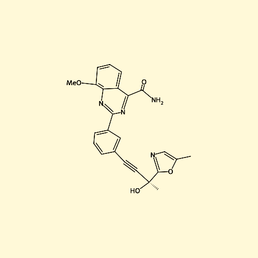 COc1cccc2c(C(N)=O)nc(-c3cccc(C#C[C@](C)(O)c4ncc(C)o4)c3)nc12